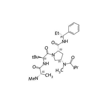 CC[C@@H](NC(=O)[C@@H]1C[C@H](N(C)C(=O)C(C)C)CN1C(=O)[C@@H](NC(=O)[C@H](C)NC)C(C)(C)C)c1ccccc1